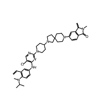 C=Cc1cc(Nc2nc(N3CCC(N4CCC5(CCN(c6ccc7c(c6)C(=C)N(C)C7=O)CC5)C4)CC3)ncc2Cl)ccc1N(C)C(C)C